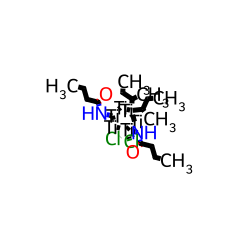 CCCC(=O)[NH][Ti]1[Ti][Ti]([CH](C)CC)([CH](C)CC)[Ti][Ti]([Cl])([Cl])([NH]C(=O)CCC)[Ti]1